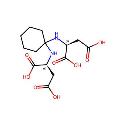 O=C(O)C[C@H](NC1(N[C@@H](CC(=O)O)C(=O)O)CCCCC1)C(=O)O